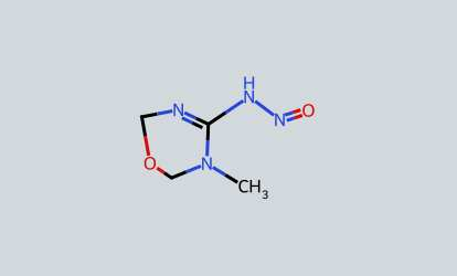 CN1COCN=C1NN=O